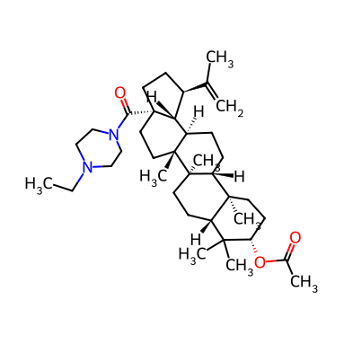 C=C(C)[C@@H]1CC[C@]2(C(=O)N3CCN(CC)CC3)CC[C@]3(C)[C@H](CC[C@@H]4[C@@]5(C)CC[C@H](OC(C)=O)C(C)(C)[C@@H]5CC[C@]43C)[C@@H]12